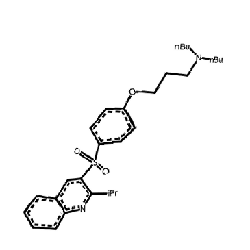 CCCCN(CCCC)CCCOc1ccc(S(=O)(=O)c2cc3ccccc3nc2C(C)C)cc1